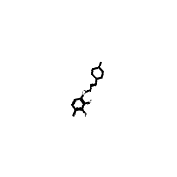 Cc1ccc(OC/C=C/C2CCC(C)CC2)c(F)c1F